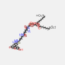 CCCCCCCC/C=C\CCCCCCCC(=O)OCC(COP(=O)(O)OCCNC(=O)CCCCC(=O)NCCCCCNC(=S)Nc1ccc(-c2c3ccc(=O)cc-3oc3cc(O)ccc23)c(C)c1)OC(=O)CCCCCCC/C=C\CCCCCCCC